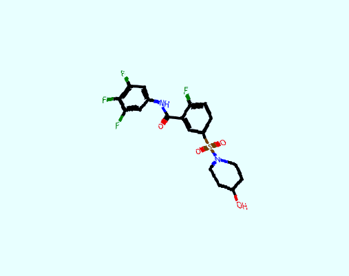 O=C(Nc1cc(F)c(F)c(F)c1)C1=CC(S(=O)(=O)N2CCC(O)CC2)CC=C1F